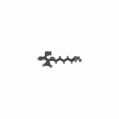 C=CCCCCOC1(C(=O)O)CC1